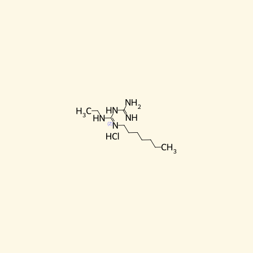 CCCCCCC/N=C(/NCC)NC(=N)N.Cl